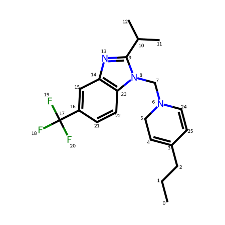 CCCC1=CCN(Cn2c(C(C)C)nc3cc(C(F)(F)F)ccc32)C=C1